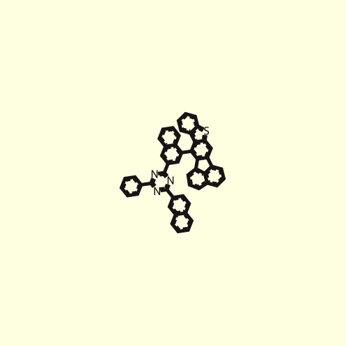 c1ccc(-c2nc(-c3ccc4ccccc4c3)nc(-c3cc(-c4c5c(cc6sc7ccccc7c46)-c4cccc6cccc-5c46)c4ccccc4c3)n2)cc1